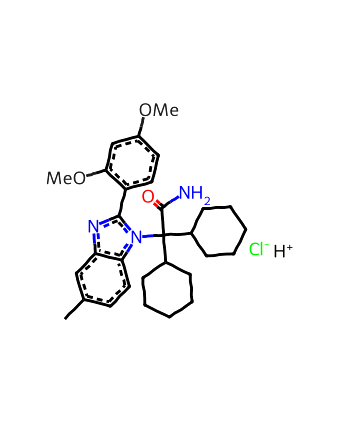 COc1ccc(-c2nc3cc(C)ccc3n2C(C(N)=O)(C2CCCCC2)C2CCCCC2)c(OC)c1.[Cl-].[H+]